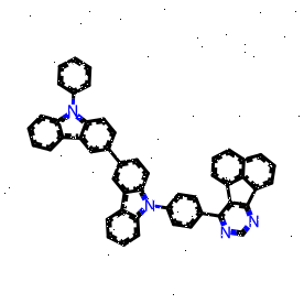 c1ccc(-n2c3ccccc3c3cc(-c4ccc5c(c4)c4ccccc4n5-c4ccc(-c5ncnc6c5-c5cccc7cccc-6c57)cc4)ccc32)cc1